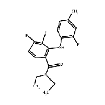 CCN(CC)C(=O)c1ccc(F)c(F)c1Nc1ccc(C)cc1F